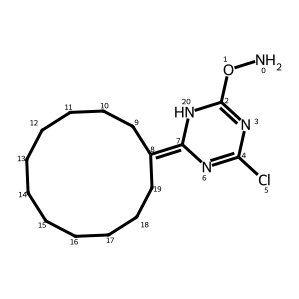 NOC1=NC(Cl)=NC(=C2CCCCCCCCCCC2)N1